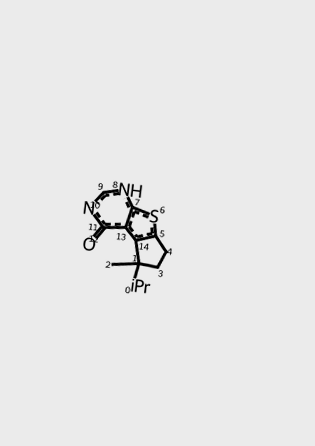 CC(C)C1(C)CCc2sc3[nH]cnc(=O)c3c21